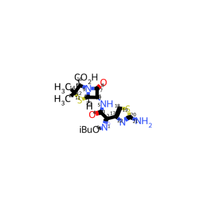 CC(C)CO/N=C(\C(=O)N[C@H]1C(=O)N2[C@@H]1SC(C)(C)[C@@H]2C(=O)O)c1csc(N)n1